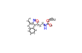 CC=C(Cc1ccccc1)C1=NOC(CCNC(=O)OC(C)(C)C)C1